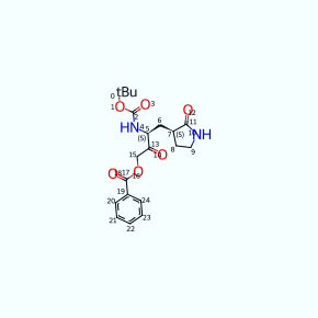 CC(C)(C)OC(=O)N[C@@H](C[C@@H]1CCNC1=O)C(=O)COC(=O)c1ccccc1